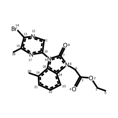 CCOC(=O)Cn1c(=O)n(-c2cnc(Br)c(C)n2)c2c(C)cccc21